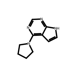 [CH]1CCN(c2ncnc3[nH]ccc23)C1